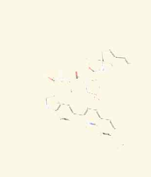 C=CC1=CCC(NC(=O)[C@@H]2C[C@@H](Oc3cc(-c4ccc5c(c4)CCN5C)nc4cc(OC)ccc34)CN2C(=O)[C@@H](NC(=O)OC(C)(C)C)C(C)C)(C(=O)O)C1